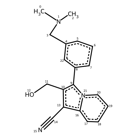 CN(C)Cc1cccc(-c2c(CO)c(C#N)c3ccccn23)c1